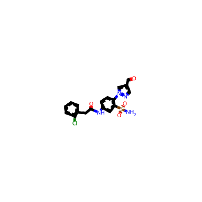 NS(=O)(=O)c1cc(NC(=O)Cc2ccccc2Cl)ccc1-n1cc(C=O)cn1